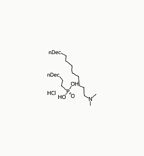 CCCCCCCCCCCCCCCCCCN(C)C.CCCCCCCCCCCCP(=O)(O)O.Cl